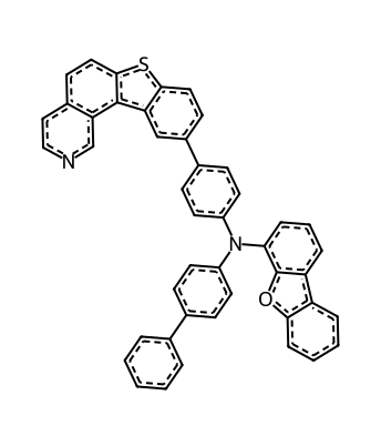 c1ccc(-c2ccc(N(c3ccc(-c4ccc5sc6ccc7ccncc7c6c5c4)cc3)c3cccc4c3oc3ccccc34)cc2)cc1